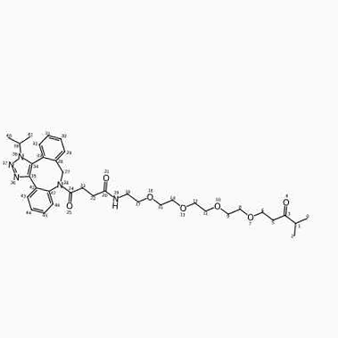 CC(C)C(=O)CCOCCOCCOCCOCCNC(=O)CCC(=O)N1Cc2ccccc2-c2c(nnn2C(C)C)-c2ccccc21